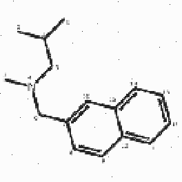 CC(C)CN(C)Cc1ccc2ccccc2c1